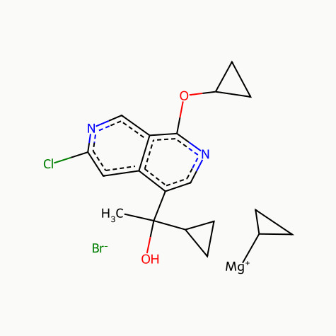 CC(O)(c1cnc(OC2CC2)c2cnc(Cl)cc12)C1CC1.[Br-].[Mg+][CH]1CC1